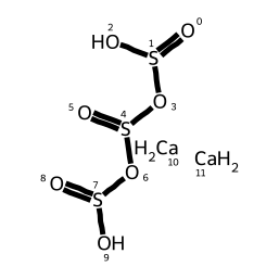 O=S(O)OS(=O)OS(=O)O.[CaH2].[CaH2]